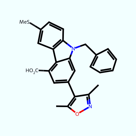 CSc1ccc2c(c1)c1c(C(=O)O)cc(-c3c(C)noc3C)cc1n2Cc1ccccc1